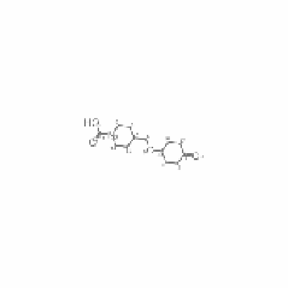 O=C1CCC(OCC2CCN(C(=O)O)CC2)CC1